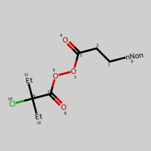 CCCCCCCCCCCC(=O)OOC(=O)C(Cl)(CC)CC